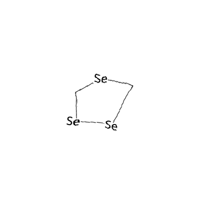 C1[Se]C[Se][Se]1